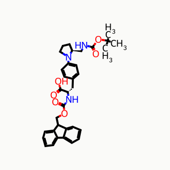 CC(C)(C)OC(=O)NC[C@@H]1CCCN1c1ccc(C[C@H](NC(=O)OCC2c3ccccc3-c3ccccc32)C(=O)O)cc1